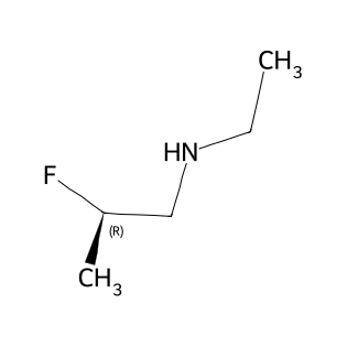 CCNC[C@@H](C)F